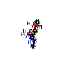 COc1cc(C(=O)NS(=O)(=O)c2ccccc2C)ccc1Cc1cn(C)c2ccc(C(=O)NCC3CCCC3)cc12